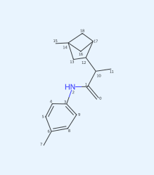 C=C(Nc1ccc(C)cc1)C(C)C1CC2(C)CC1C2